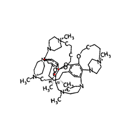 C[C@H](Cc1cc2c3c(c1OCCCC[N+]1(C)CCN2CC1)OCCCC[N+]1(C)CCN3CC1)[C@@H](C)Cc1cc2c3c(c1OCCCC[N+]1(C)CCN2CC1)OCCCC[N+]1(C)CCN3CC1